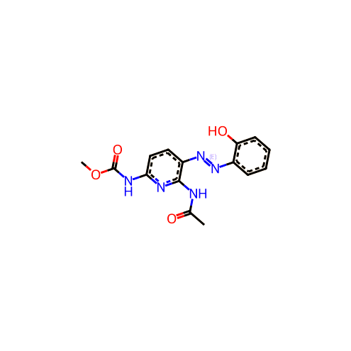 COC(=O)Nc1ccc(/N=N/c2ccccc2O)c(NC(C)=O)n1